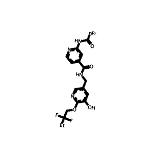 CCCC(=O)Nc1cc(C(=O)NCc2cnc(OCC(F)(F)CC)c(O)c2)ccn1